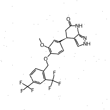 COc1cc([C@H]2CC(=O)Nc3n[nH]cc32)ccc1OCc1ccc(C(F)(F)F)cc1C(F)(F)F